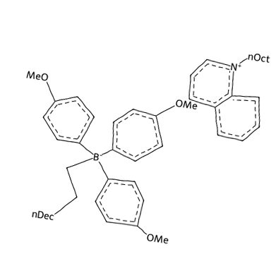 CCCCCCCCCCCC[B-](c1ccc(OC)cc1)(c1ccc(OC)cc1)c1ccc(OC)cc1.CCCCCCCC[n+]1cccc2ccccc21